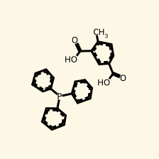 Cc1ccc(C(=O)O)cc1C(=O)O.c1ccc(P(c2ccccc2)c2ccccc2)cc1